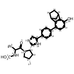 CC(C)C(NC(=O)O)C(=O)N1C[C@@H](C)C[C@H]1c1ncc(-c2ccc(-c3ccc(O)c4c3C3CCC4C3)cc2)[nH]1